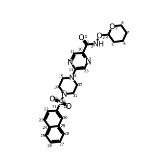 O=C(NOC1CCCCO1)c1cnc(N2CCN(S(=O)(=O)c3ccc4ccccc4c3)CC2)cn1